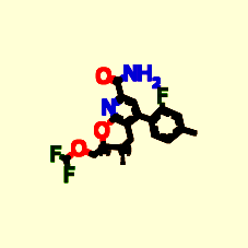 Cc1ccc(-c2cc(C(N)=O)nc3c2C[C@H](C)[C@@H](COC(F)F)O3)c(F)c1